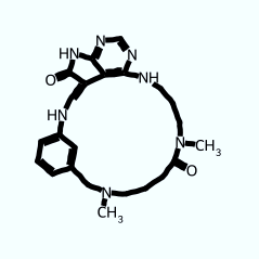 CN1CCCC(=O)N(C)CCCNc2ncnc3c2/C(=C\Nc2cccc(c2)C1)C(=O)N3